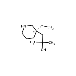 [CH2]C[C@]1(CC(C)(C)O)CCCNC1